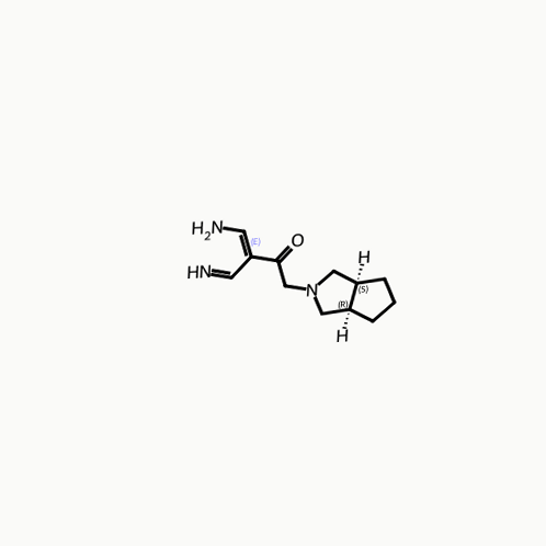 N=C/C(=C\N)C(=O)CN1C[C@H]2CCC[C@H]2C1